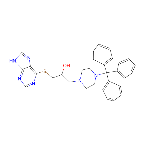 OC(CSc1ncnc2[nH]cnc12)CN1CCN(C(c2ccccc2)(c2ccccc2)c2ccccc2)CC1